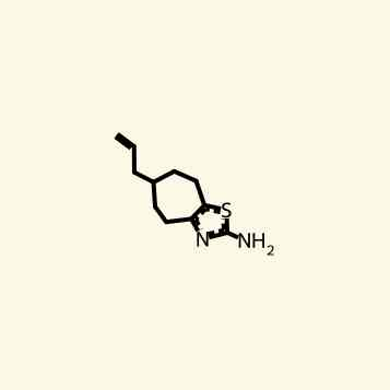 C=CCC1CCc2nc(N)sc2CC1